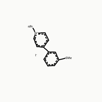 CCC[n+]1ccc(-c2cccc(SC)c2)cc1.[I-]